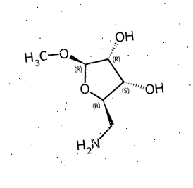 CO[C@@H]1O[C@H](CN)[C@@H](O)[C@H]1O